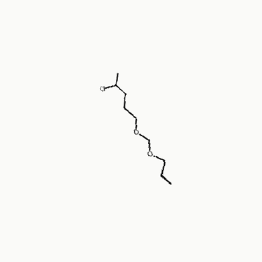 CCCOCOCCCC(C)Cl